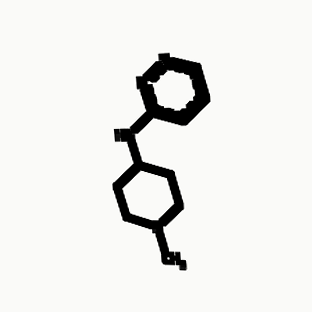 CN1CCC(Nc2cccnn2)CC1